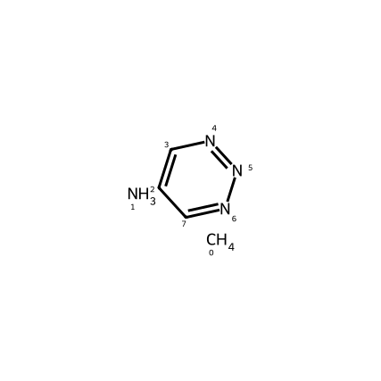 C.N.c1cnnnc1